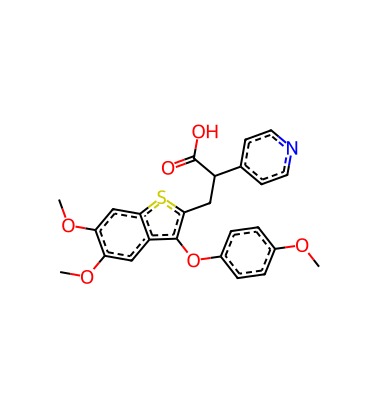 COc1ccc(Oc2c(CC(C(=O)O)c3ccncc3)sc3cc(OC)c(OC)cc23)cc1